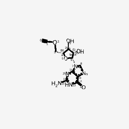 C#COC[C@H]1O[C@@H](n2cnc3c(=O)[nH]c(N)nc32)[C@@H](O)[C@@H]1O